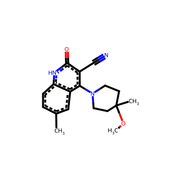 COC1(C)CCN(c2c(C#N)c(=O)[nH]c3ccc(C)cc23)CC1